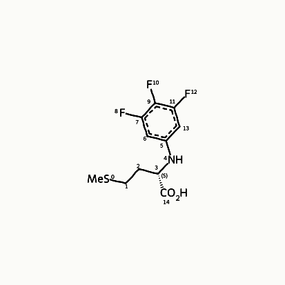 CSCC[C@H](Nc1cc(F)c(F)c(F)c1)C(=O)O